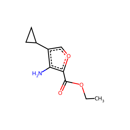 CCOC(=O)c1occ(C2CC2)c1N